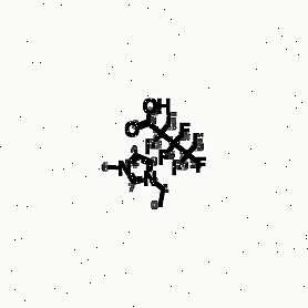 CCn1cc[n+](C)c1.O=C(O)C(F)(F)C(F)(F)C(F)(F)F